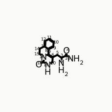 NC(=O)C(N)CC1=C2c3ccccc3CCN2C(=O)NC1